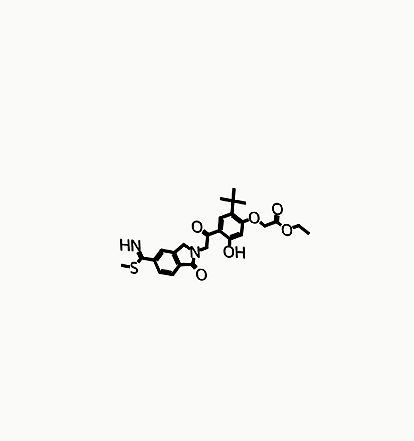 CCOC(=O)COc1cc(O)c(C(=O)CN2Cc3cc(C(=N)SC)ccc3C2=O)cc1C(C)(C)C